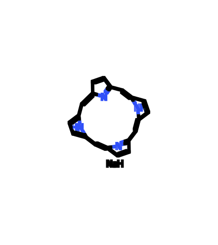 C1=Cc2cc3ccc(cc4nc(cc5ccc(cc1n2)[nH]5)C=C4)[nH]3.[NaH]